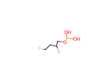 OP(O)OCC(F)CCF